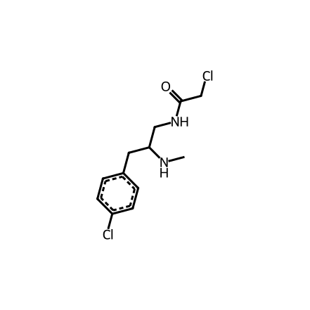 CNC(CNC(=O)CCl)Cc1ccc(Cl)cc1